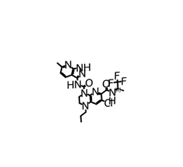 CCCN1CCN(C(=O)Nc2n[nH]c3nc(C)ccc23)c2nc(C(=O)N[C@H](C)C(F)(F)F)c(Cl)cc21